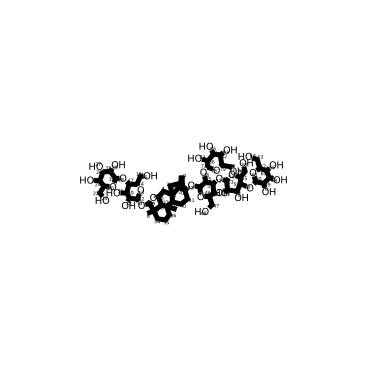 C=C1CC23CCC4C(C)(C(=O)OC5OC(CO)C(OC6OC(CO)C(O)C(O)C6O)C(O)C5O)CCCC4(C)C2CCC1(OC1OC(CO)C(O)C(OC2OC(CO)C(OC4OC(CO)C(O)C(O)C4O)C(O)C2O)C1OC1OC(CO)C(O)C(O)C1O)C3